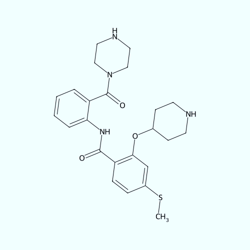 CSc1ccc(C(=O)Nc2ccccc2C(=O)N2CCNCC2)c(OC2CCNCC2)c1